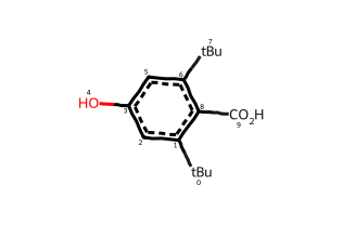 CC(C)(C)c1cc(O)cc(C(C)(C)C)c1C(=O)O